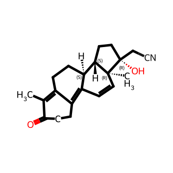 CC1=C2CC[C@@H]3C(=C2CCC1=O)C=C[C@@]1(C)[C@H]3CC[C@@]1(O)CC#N